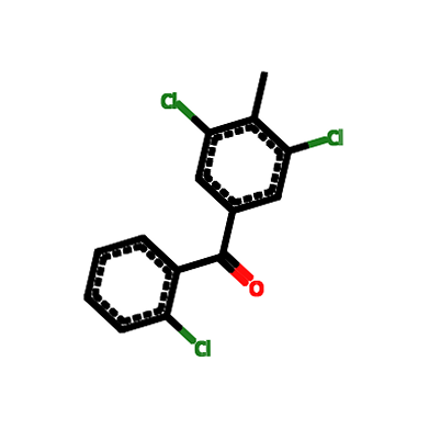 Cc1c(Cl)cc(C(=O)c2ccccc2Cl)cc1Cl